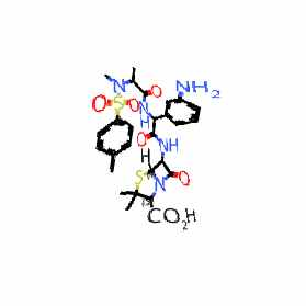 Cc1ccc(S(=O)(=O)N(C)C(C)C(=O)NC(C(=O)NC2C(=O)N3[C@@H]2SC(C)(C)[C@@H]3C(=O)O)c2cccc(N)c2)cc1